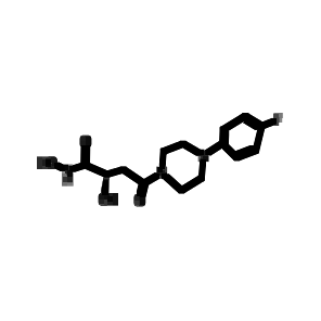 O=C(NO)[C@H](O)CC(=O)N1CCN(c2ccc(F)cc2)CC1